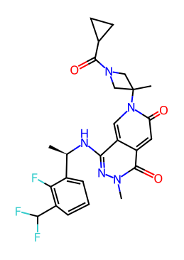 C[C@@H](Nc1nn(C)c(=O)c2cc(=O)n(C3(C)CN(C(=O)C4CC4)C3)cc12)c1cccc(C(F)F)c1F